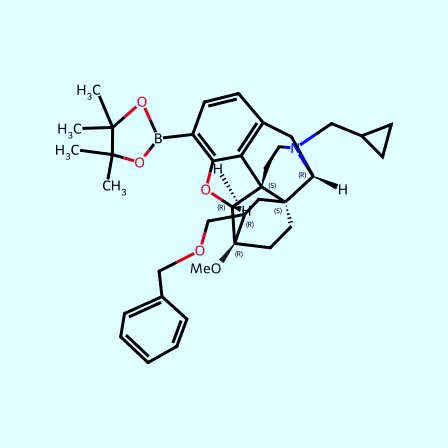 CO[C@]12CC[C@@]3(C[C@@H]1COCc1ccccc1)[C@H]1Cc4ccc(B5OC(C)(C)C(C)(C)O5)c5c4[C@@]3(CCN1CC1CC1)[C@H]2O5